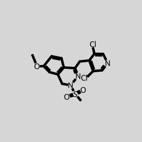 COc1ccc2c(c1)CN(S(C)(=O)=O)N=C2Cc1c(Cl)cncc1Cl